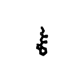 CCOC(=O)CC(=O)c1scc2ccccc12